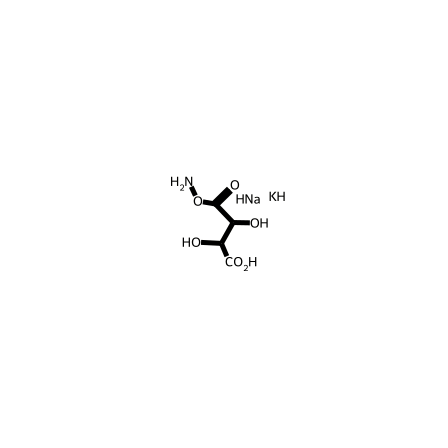 NOC(=O)C(O)C(O)C(=O)O.[KH].[NaH]